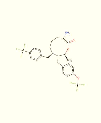 C[C@@H]1OC(=O)[C@@H](N)CCC[C@H](Cc2ccc(C(F)(F)F)cc2)[C@H]1Cc1ccc(OC(F)(F)F)cc1